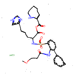 COCCC(=O)Nc1c(-c2ccccc2)cccc1S(=O)(=O)NC(CCCc1c[nH]cn1)C(=O)OC(=O)C1CCCCN1.Cl